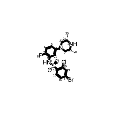 C[C@@H]1CN(c2ccc(F)c(NS(=O)(=O)c3ccc(Br)cc3Cl)c2)C[C@H](C)N1